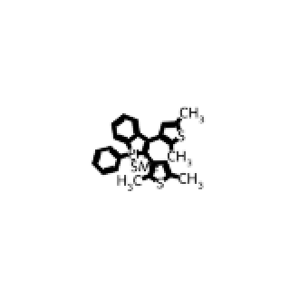 CS[PH]1(c2ccccc2)C(c2cc(C)sc2C)=C(c2cc(C)sc2C)c2ccccc21